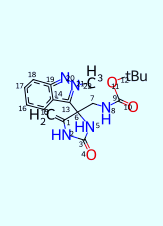 C=C1NC(=O)NC1(CNC(=O)OC(C)(C)C)c1c2ccccc2nn1C